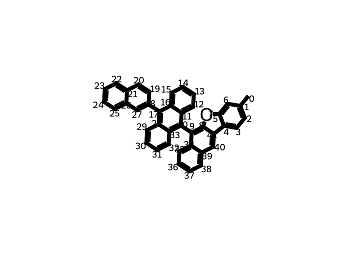 Cc1ccc2c(c1)oc1c(-c3c4ccccc4c(-c4ccc5ccccc5c4)c4ccccc34)c3ccccc3cc12